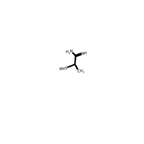 CSC(C)C(=N)N